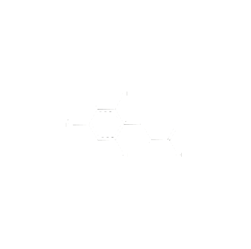 Cc1cc(Br)cc(C)c1OCC(=O)O